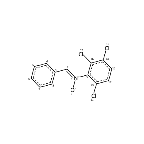 [O-][N+](=Cc1ccccc1)c1c(Cl)ccc(Cl)c1Cl